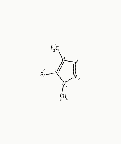 Cn1n[c]c(C(F)(F)F)c1Br